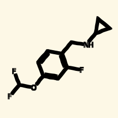 Fc1cc(OC(F)F)ccc1CNC1CC1